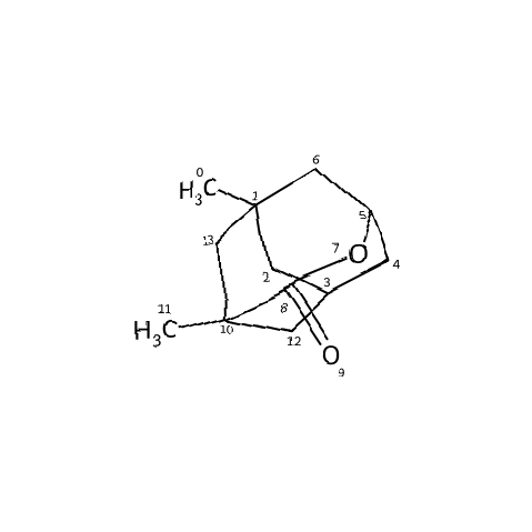 CC12CC3CC(C1)OC(=O)C(C)(C3)C2